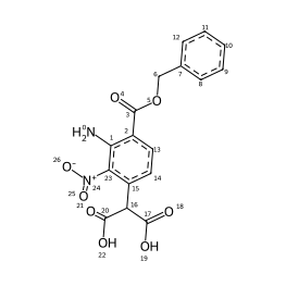 Nc1c(C(=O)OCc2ccccc2)ccc(C(C(=O)O)C(=O)O)c1[N+](=O)[O-]